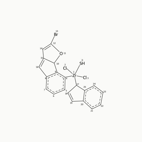 [SH][Zr]([Cl])([Cl])([c]1cccc2c1C1OC(Br)=CC1=C2)[CH]1C=Cc2ccccc21